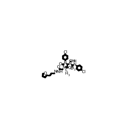 CC1(C)C(N(O)C(=O)Nc2ccc(Cl)cc2)N(c2ccc(Cl)cc2)C(=O)N1CC(=O)N/N=C/C=C/c1ccco1